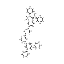 CC1(C)c2cc(C3=CCC(c4cccc(C5N=C(c6ccccc6)C=C(c6ccccc6)N5)c4)C=C3)ccc2-c2c(-c3ccccc3)cc3ccccc3c21